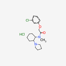 CN(C(=O)COc1cccc(Cl)c1)C1CCCCC1N1CCCC1.Cl